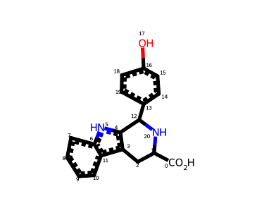 O=C(O)C1Cc2c([nH]c3ccccc23)C(c2ccc(O)cc2)N1